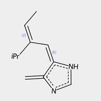 C=c1nc[nH]/c1=C/C(=C\C)C(C)C